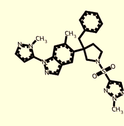 Cc1cc2c(cnn2-c2ccnn2C)cc1C1(Cc2ccccc2)CCN(S(=O)(=O)c2cnn(C)n2)C1